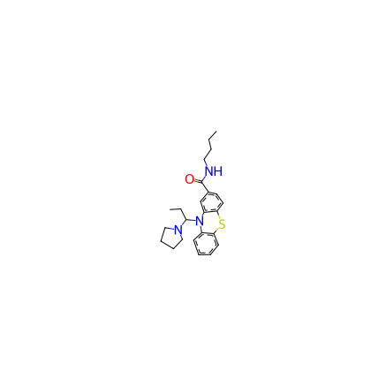 CCCCNC(=O)c1ccc2c(c1)N(C(CC)N1CCCC1)c1ccccc1S2